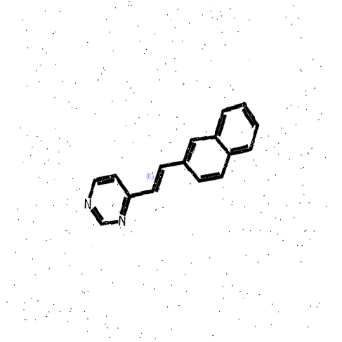 C(=C\c1ccncn1)/c1ccc2ccccc2c1